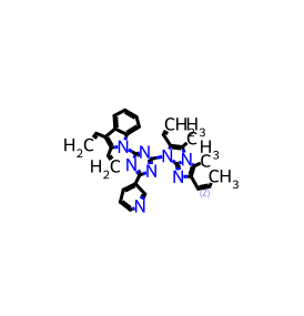 C=Cc1c(C=C)n(-c2nc(-c3cccnc3)nc(-n3c(C=C)c(C)n4c(C)c(/C=C\C)nc34)n2)c2ccccc12